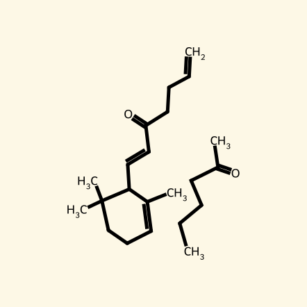 C=CCCC(=O)C=CC1C(C)=CCCC1(C)C.CCCCC(C)=O